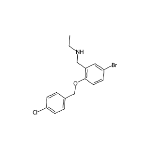 CCNCc1cc(Br)ccc1OCc1ccc(Cl)cc1